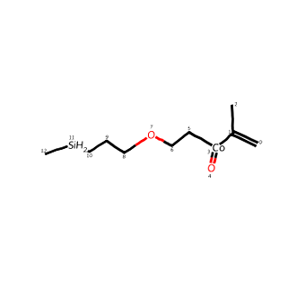 C=[C](C)[Co](=[O])[CH2]COCCC[SiH2]C